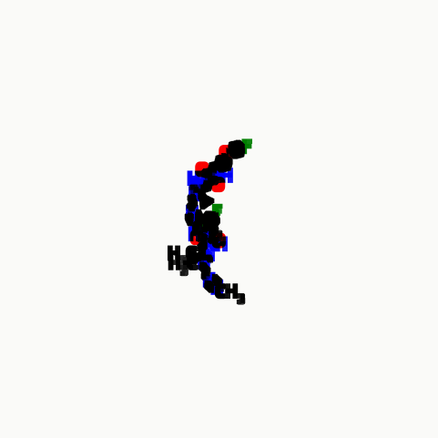 CC(C)c1c(/C=c2\[nH]c(=O)/c(=C/c3cc(F)cc(C4CN(CCCn5cnc(/C=c6\[nH]c(=O)/c(=C/c7cccc(Oc8ccc(F)cc8)c7)[nH]c6=O)c5C5CC5)CCN4C)c3F)[nH]c2=O)ncn1CCCN1CCN(C)CC1